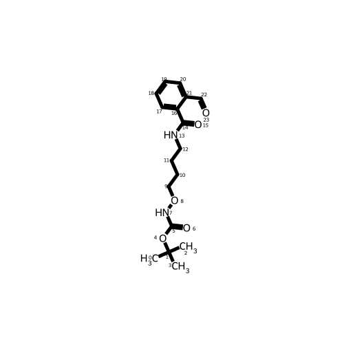 CC(C)(C)OC(=O)NOCCCCNC(=O)c1ccccc1C=O